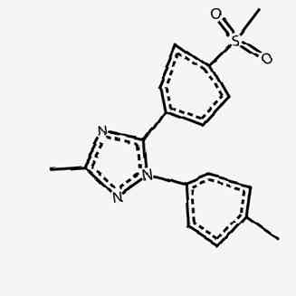 Cc1ccc(-n2nc(C)nc2-c2ccc(S(C)(=O)=O)cc2)cc1